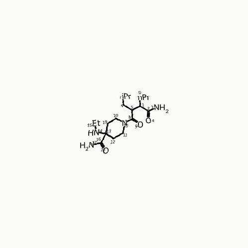 CCCC(C(N)=O)C(CC(C)C)C(=O)N1CCC(NCC)(C(N)=O)CC1